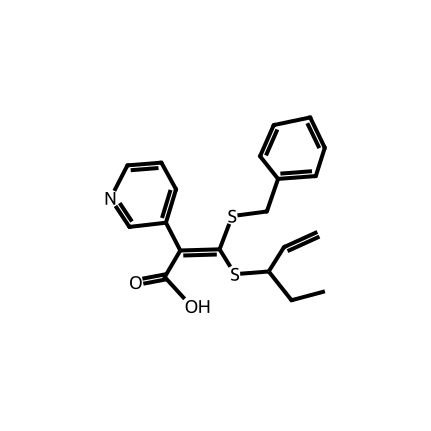 C=CC(CC)SC(SCc1ccccc1)=C(C(=O)O)c1cccnc1